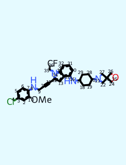 COc1cc(Cl)ccc1NCC#Cc1cc2c(NC3CCC(N4CC5(COC5)C4)CC3)cccc2n1CC(F)(F)F